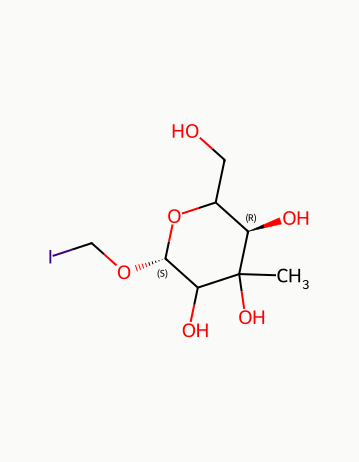 CC1(O)C(O)[C@H](OCI)OC(CO)[C@H]1O